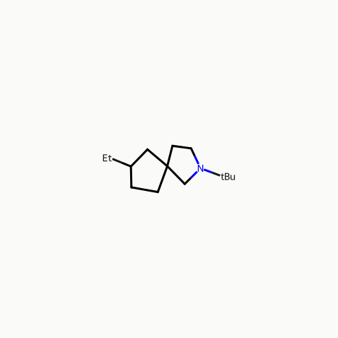 CCC1CCC2(CCN(C(C)(C)C)C2)C1